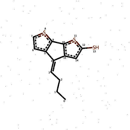 CCC/C=C1/c2ccsc2-c2sc(S)cc21